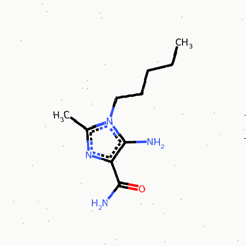 CCCCCn1c(C)nc(C(N)=O)c1N